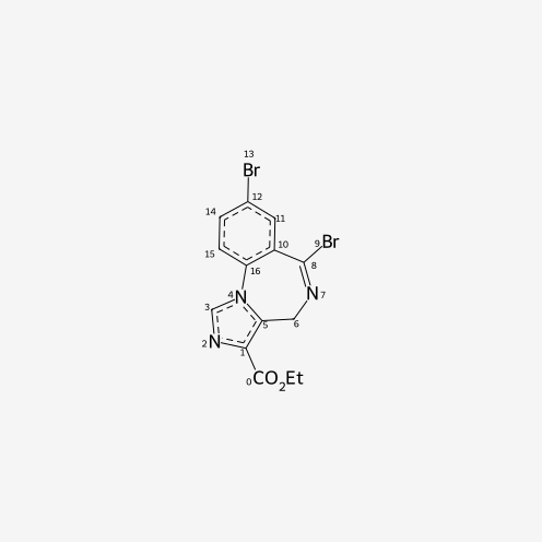 CCOC(=O)c1ncn2c1CN=C(Br)c1cc(Br)ccc1-2